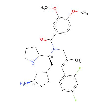 COc1ccc(C(=O)N(CC(C)=Cc2ccc(F)cc2F)[C@@H](CC2CC[C@@H](N)C2)C2CCCN2)cc1OC